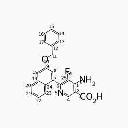 Nc1c(C(=O)O)cnc(-c2cc(OCc3ccccc3)cc3ccccc23)c1F